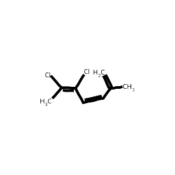 C=C(C)/C=C\C(Cl)=C(/C)Cl